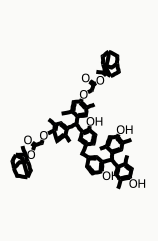 Cc1cc(C(c2cc(C)c(O)cc2C)c2cc(Cc3ccc(O)c(C(c4cc(C)c(OCC(=O)OC5(C)C6CC7CC(C6)CC5C7)cc4C)c4cc(C)c(OCC(=O)OC5(C)C6CC7CC(C6)CC5C7)cc4C)c3)ccc2O)c(C)cc1O